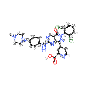 COC(=O)c1cc(-c2nn(-c3c(Cl)cccc3Cl)c(=O)c3cnc(Nc4ccc(N5CCN(C)CC5)cc4)nc23)ccn1